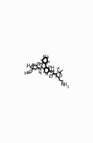 CC(=O)NC(CCCCN)C(=O)Nc1ccc(C(=O)N[C@@H](CC(=O)O)C(N)=O)c(-c2ccccc2)c1